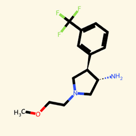 COCCN1C[C@@H](N)[C@H](c2cccc(C(F)(F)F)c2)C1